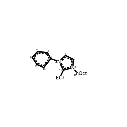 CCCCCCCC[n+]1ccn(-c2ccccc2)c1CC